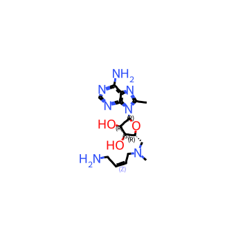 Cc1nc2c(N)ncnc2n1[C@@H]1O[C@H](CN(C)C/C=C\CN)[C@@H](O)[C@H]1O